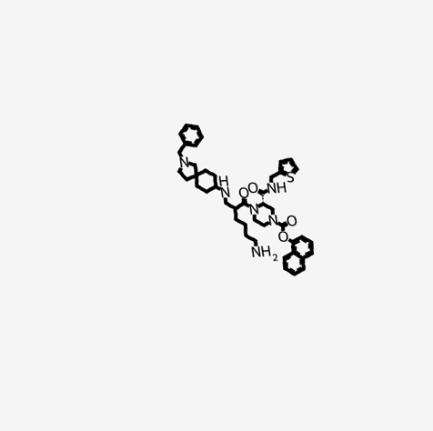 NCCCCC(CNC1CCC2(CC1)CCN(Cc1ccccc1)C2)C(=O)N1CCN(C(=O)Oc2cccc3ccccc23)C[C@H]1C(=O)NCc1cccs1